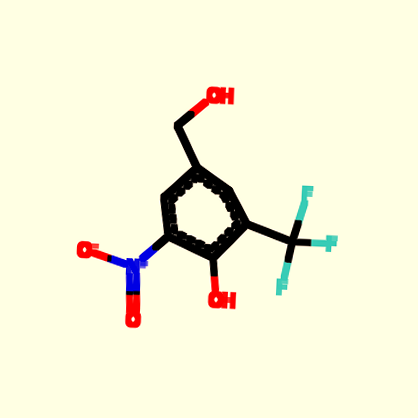 O=[N+]([O-])c1cc(CO)cc(C(F)(F)F)c1O